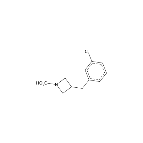 O=C(O)N1CC(Cc2cccc(Cl)c2)C1